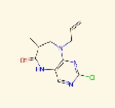 C=CCN1CC(C)C(=O)Nc2cnc(Cl)nc21